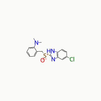 CN(C)c1ccccc1C[S+]([O-])c1nc2cc(Cl)ccc2[nH]1